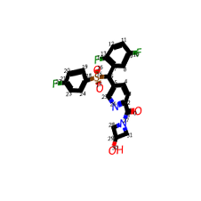 O=C(c1ccc(C(c2cc(F)ccc2F)S(=O)(=O)c2ccc(F)cc2)cn1)N1CC(O)C1